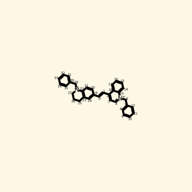 C(=Cc1cc[n+](Cc2ccccc2)c2ccccc12)c1ccc2c(c1)CCCN2Cc1ccccc1